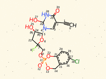 C#CC1=CN([C@@H]2O[C@](F)(COP3(=O)OCc4cc(Cl)ccc4O3)C[C@H]2O)C(O)NC1=O